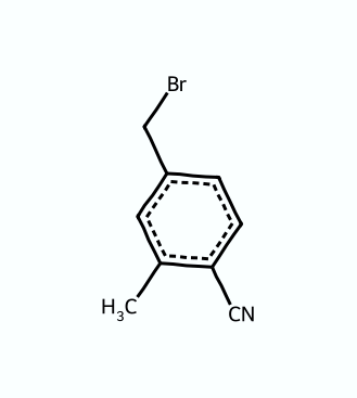 Cc1cc(CBr)ccc1C#N